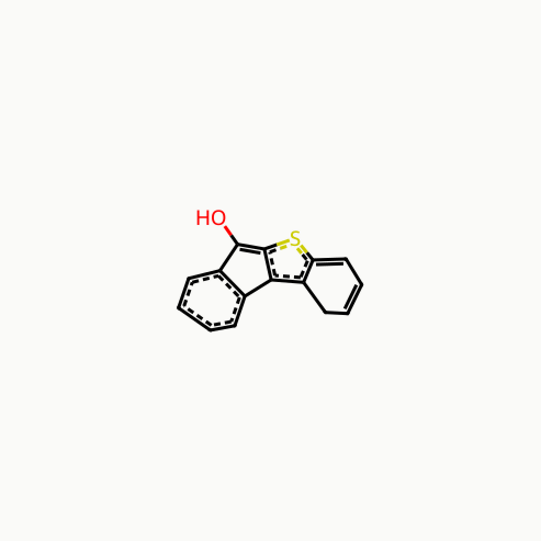 OC1=c2sc3c(c2-c2ccccc21)CC=CC=3